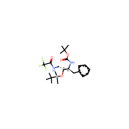 CC(C)(C)OC(=O)N[C@@H](Cc1ccccc1)[C@@H](CNC(=O)C(F)(F)F)O[Si](C)(C)C(C)(C)C